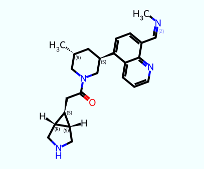 C/N=C\c1ccc([C@@H]2C[C@@H](C)CN(C(=O)C[C@H]3[C@@H]4CNC[C@@H]43)C2)c2cccnc12